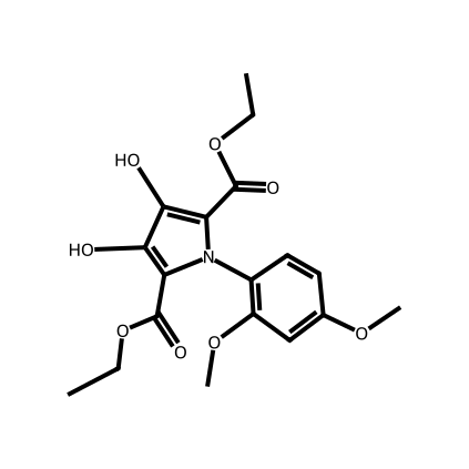 CCOC(=O)c1c(O)c(O)c(C(=O)OCC)n1-c1ccc(OC)cc1OC